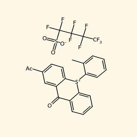 CC(=O)c1ccc2c(c1)c(=O)c1ccccc1[s+]2-c1ccccc1C.O=S(=O)([O-])C(F)(F)C(F)(F)C(F)(F)C(F)(F)F